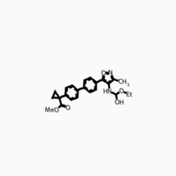 CCOC(O)Nc1c(C)noc1-c1ccc(-c2ccc(C3(C(=O)OC)CC3)cc2)cc1